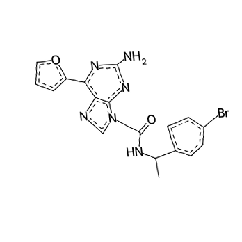 CC(NC(=O)n1cnc2c(-c3ccco3)nc(N)nc21)c1ccc(Br)cc1